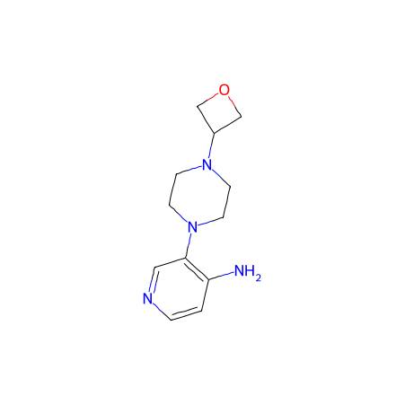 Nc1ccncc1N1CCN(C2COC2)CC1